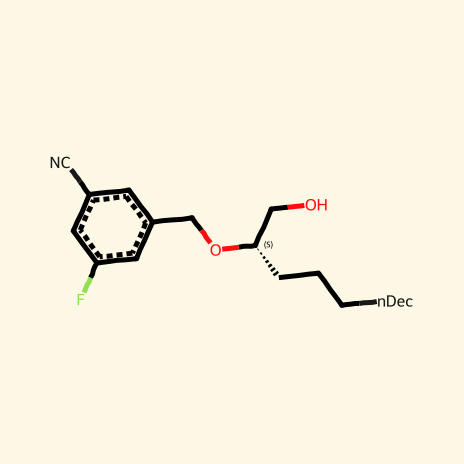 CCCCCCCCCCCCC[C@@H](CO)OCc1cc(F)cc(C#N)c1